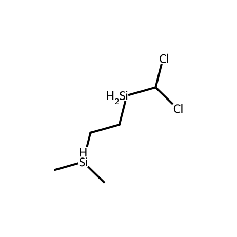 C[SiH](C)CC[SiH2]C(Cl)Cl